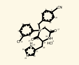 Cl.N#Cc1ccc(C[N+]2(c3cccc(Cl)c3)CC(=O)NC(Cc3cnc[nH]3)C2=O)cc1